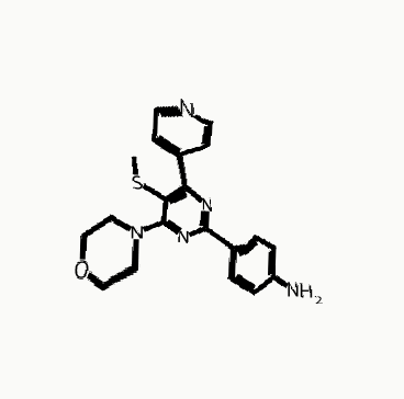 CSc1c(-c2ccncc2)nc(-c2ccc(N)cc2)nc1N1CCOCC1